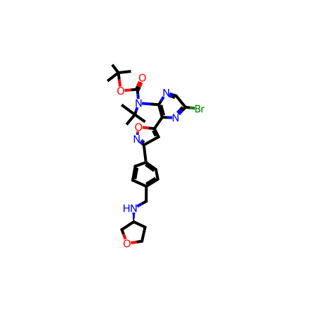 CC(C)(C)OC(=O)N(c1ncc(Br)nc1-c1cc(-c2ccc(CN[C@H]3CCOC3)cc2)no1)C(C)(C)C